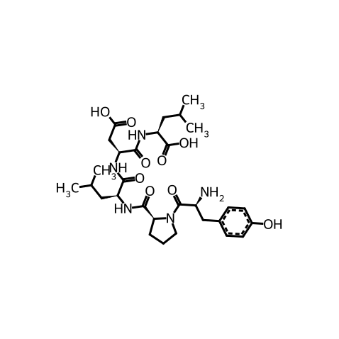 CC(C)C[C@H](NC(=O)[C@H](CC(=O)O)NC(=O)[C@H](CC(C)C)NC(=O)[C@@H]1CCCN1C(=O)[C@@H](N)Cc1ccc(O)cc1)C(=O)O